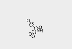 O=C1CC(c2ccc(Cl)s2)c2cc3c(cc2N1)OCO3